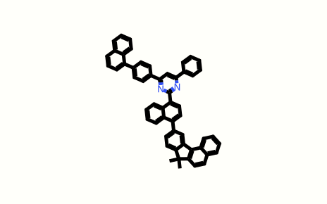 CC1(C)c2ccc(-c3ccc(-c4nc(-c5ccccc5)cc(-c5ccc(-c6cccc7ccccc67)cc5)n4)c4ccccc34)cc2-c2c1ccc1ccccc21